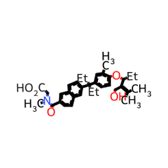 CCC(Oc1ccc(C(CC)(CC)c2ccc3cc(C(=O)N(C)CC(=O)O)ccc3c2)cc1C)C(CO)=C(C)C